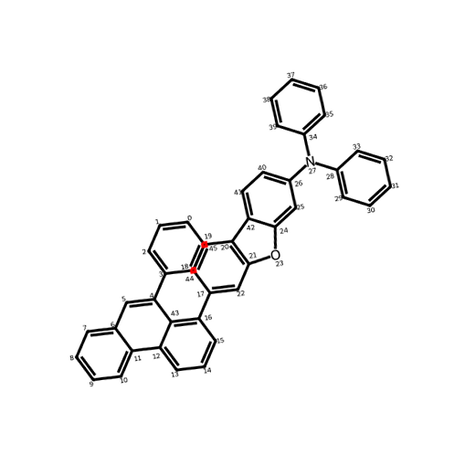 c1ccc(-c2cc3ccccc3c3cccc(-c4ccc5c(c4)oc4cc(N(c6ccccc6)c6ccccc6)ccc45)c23)cc1